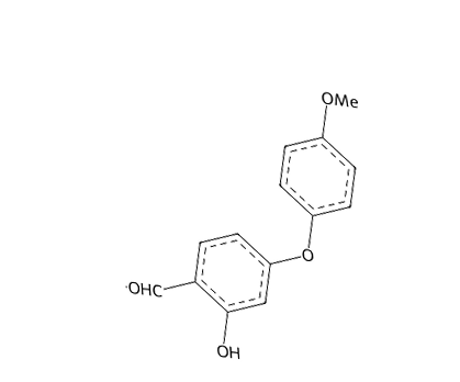 COc1ccc(Oc2ccc([C]=O)c(O)c2)cc1